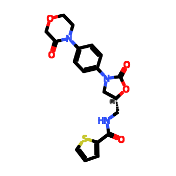 O=C(NC[C@@H]1CN(c2ccc(N3CCOCC3=O)cc2)C(=O)O1)c1cccs1